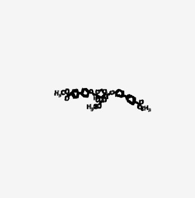 COC(=O)c1ccc(-c2ccc(OC[C@H]3OCO[C@H](COc4ccc(-c5ccc(C(=O)OC)cc5)cc4)[C@H]4OC(OC)O[C@@H]43)cc2)cc1